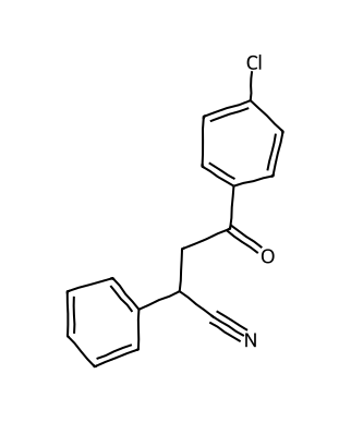 N#CC(CC(=O)c1ccc(Cl)cc1)c1ccccc1